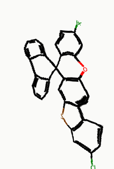 Clc1ccc2c(c1)sc1cc3c(cc12)Oc1cc(Br)ccc1C31c2ccccc2-c2ccccc21